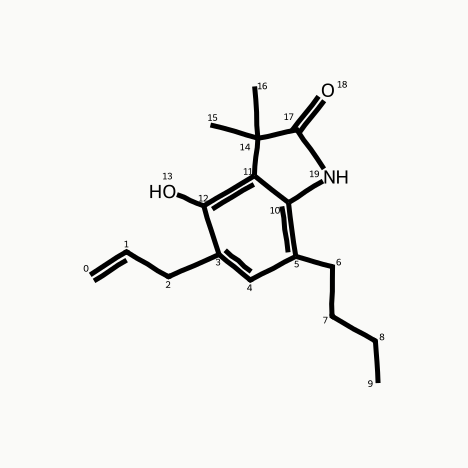 C=CCc1cc(CCCC)c2c(c1O)C(C)(C)C(=O)N2